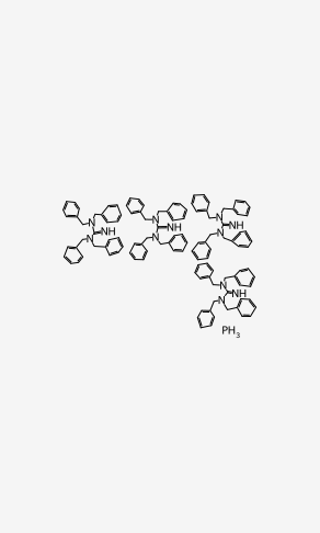 N=C(N(Cc1ccccc1)Cc1ccccc1)N(Cc1ccccc1)Cc1ccccc1.N=C(N(Cc1ccccc1)Cc1ccccc1)N(Cc1ccccc1)Cc1ccccc1.N=C(N(Cc1ccccc1)Cc1ccccc1)N(Cc1ccccc1)Cc1ccccc1.N=C(N(Cc1ccccc1)Cc1ccccc1)N(Cc1ccccc1)Cc1ccccc1.P